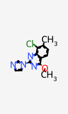 COc1nc(-n2ccnc2)nc2c(Cl)c(C)ccc12